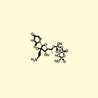 C[C@@H](OP(=O)(O)OP(=O)(O)OP(=O)(O)O)[C@H]1O[C@@H](n2ncc(=O)[nH]c2=O)C(Cl)(C#CN)[C@H]1O